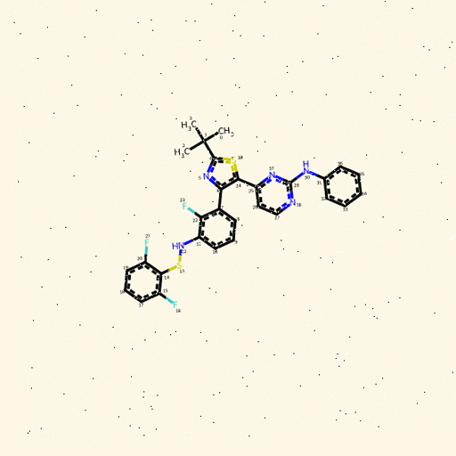 CC(C)(C)c1nc(-c2cccc(NSc3c(F)cccc3F)c2F)c(-c2ccnc(Nc3ccccc3)n2)s1